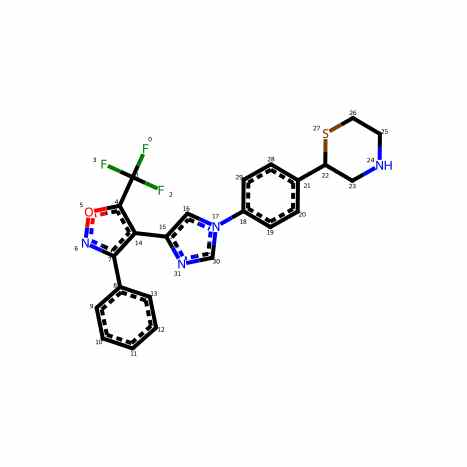 FC(F)(F)c1onc(-c2ccccc2)c1-c1cn(-c2ccc(C3CNCCS3)cc2)cn1